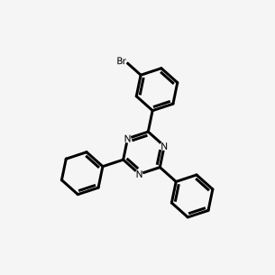 Brc1cccc(-c2nc(C3=CCCC=C3)nc(-c3ccccc3)n2)c1